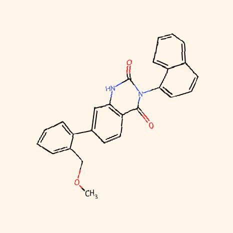 COCc1ccccc1-c1ccc2c(=O)n(-c3cccc4ccccc34)c(=O)[nH]c2c1